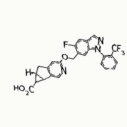 O=C(O)C1C2c3cnc(OCc4cc5c(cnn5-c5ccccc5C(F)(F)F)cc4F)cc3C[C@@H]12